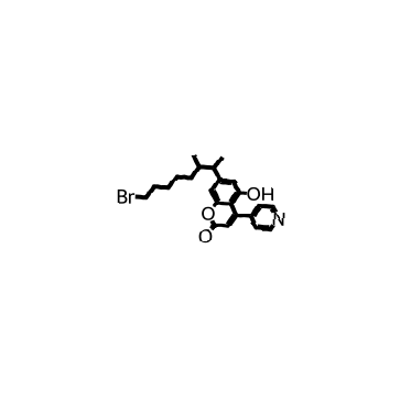 CC(CCCCCBr)C(C)c1cc(O)c2c(-c3ccncc3)cc(=O)oc2c1